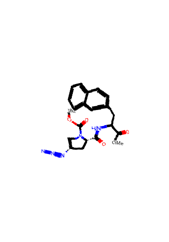 COC(=O)C(Cc1ccc2ccccc2c1)NC(=O)[C@@H]1C[C@H](N=[N+]=[N-])CN1C(=O)OC(C)(C)C